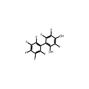 Oc1c(F)c(O)c(-c2c(F)c(F)c(F)c(F)c2F)c(F)c1F